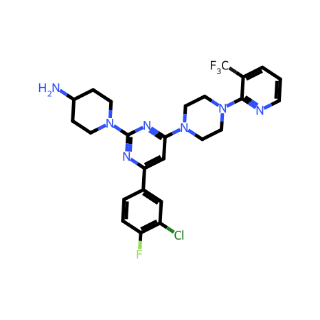 NC1CCN(c2nc(-c3ccc(F)c(Cl)c3)cc(N3CCN(c4ncccc4C(F)(F)F)CC3)n2)CC1